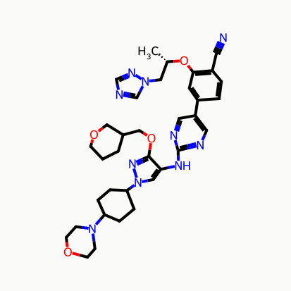 C[C@@H](Cn1cncn1)Oc1cc(-c2cnc(Nc3cn(C4CCC(N5CCOCC5)CC4)nc3OCC3CCCOC3)nc2)ccc1C#N